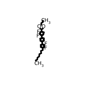 CCCCCCCCCc1ccc(-c2ccc(-c3ccc(C4COC(CCC)OC4)c(F)c3F)cc2)c(F)c1F